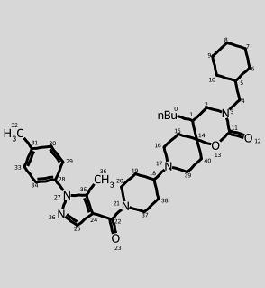 CCCCC1CN(CC2CCCCC2)C(=O)OC12CCN(C1CCN(C(=O)c3cnn(-c4ccc(C)cc4)c3C)CC1)CC2